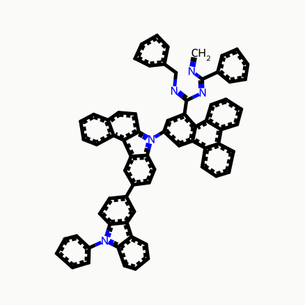 C=N/C(=N\C(=N/Cc1ccccc1)c1cc(-n2c3ccc(-c4ccc5c(c4)c4ccccc4n5-c4ccccc4)cc3c3c4ccccc4ccc32)cc2c3ccccc3c3ccccc3c12)c1ccccc1